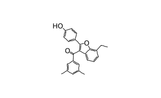 CCc1cccc2c(C(=O)c3cc(C)cc(C)c3)c(-c3ccc(O)cc3)oc12